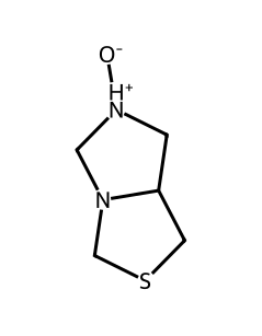 [O-][NH+]1CC2CSCN2C1